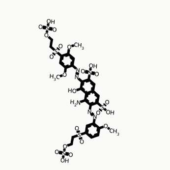 COc1ccc(S(=O)(=O)CCOS(=O)(=O)O)cc1/N=N/c1c(S(=O)(=O)O)cc2cc(S(=O)(=O)O)c(/N=N/c3cc(OC)c(S(=O)(=O)CCOS(=O)(=O)O)cc3OC)c(O)c2c1N